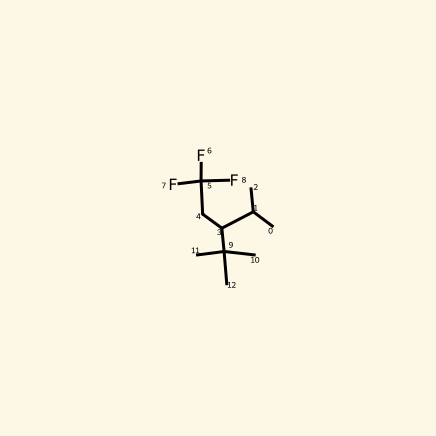 CC(C)C(CC(F)(F)F)C(C)(C)C